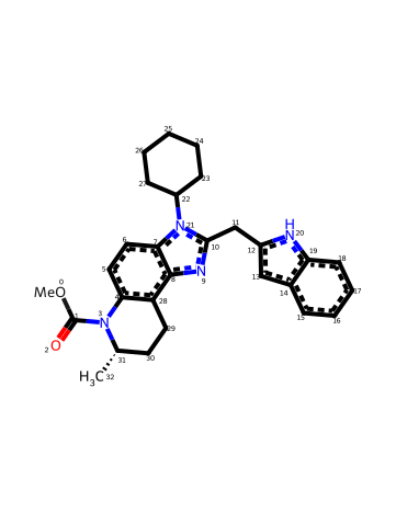 COC(=O)N1c2ccc3c(nc(Cc4cc5ccccc5[nH]4)n3C3CCCCC3)c2CC[C@@H]1C